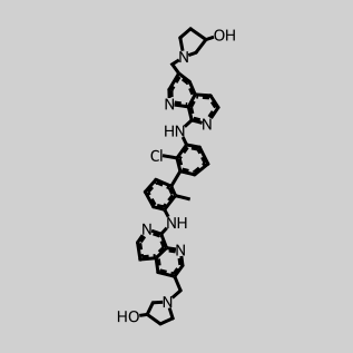 Cc1c(Nc2nccc3cc(CN4CCC(O)C4)cnc23)cccc1-c1cccc(Nc2nccc3cc(CN4CCC(O)C4)cnc23)c1Cl